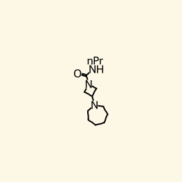 CCCNC(=O)N1CC(N2CCCCCC2)C1